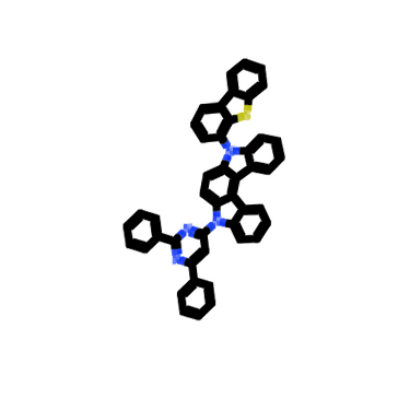 c1ccc(-c2cc(-n3c4ccccc4c4c5c6ccccc6n(-c6cccc7c6sc6ccccc67)c5ccc43)nc(-c3ccccc3)n2)cc1